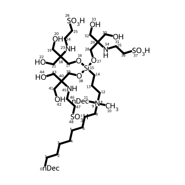 CCCCCCCCCCCCCCCCCC[N+](C)(CCCCCCCCCC)CCC[Si](OCC(CO)(CO)NCCS(=O)(=O)O)(OCC(CO)(CO)NCCS(=O)(=O)O)OCC(CO)(CO)NCCS(=O)(=O)O